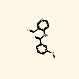 COc1cccc(C(=O)Nc2ccncc2C=O)c1